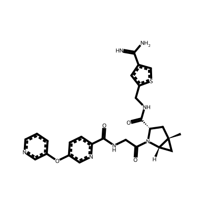 C[C@@]12C[C@@H]1N(C(=O)CNC(=O)c1ccc(Oc3cccnc3)cn1)[C@H](C(=O)NCc1cc(C(=N)N)cs1)C2